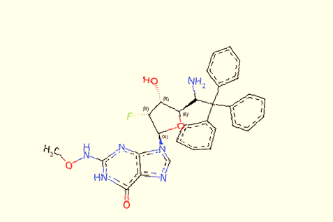 CONc1nc2c(ncn2[C@@H]2O[C@H](C(N)C(c3ccccc3)(c3ccccc3)c3ccccc3)[C@@H](O)[C@H]2F)c(=O)[nH]1